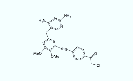 COc1cc(Cc2cnc(N)nc2N)cc(C#Cc2ccc(C(=O)CCl)cc2)c1OC